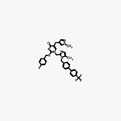 Cc1cnc(Cn2cc(Cc3cnn(C)c3)c(=O)nc2SCc2ccc(F)cc2)n1Cc1ccc(-c2ccc(C(F)(F)F)cc2)cc1